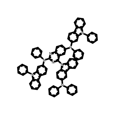 c1ccc(N(c2ccccc2)c2ccc3c(c2)c2ccccc2n3-c2nc(N(c3ccccc3)c3ccc4c5ccccc5n(-c5ccccc5)c4c3)nc3ccc(N(c4ccccc4)c4ccc5c6ccccc6n(-c6ccccc6)c5c4)cc23)cc1